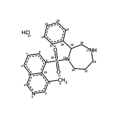 Cc1cncc2cccc(S(=O)(=O)N3CCCNCC3c3ccccc3)c12.Cl